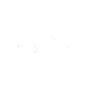 CC(C)C(=O)Nc1cc(C(C)C)no1